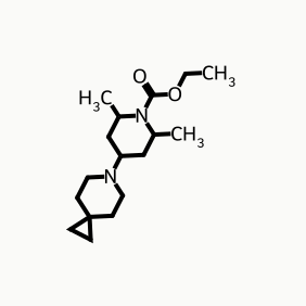 CCOC(=O)N1C(C)CC(N2CCC3(CC2)CC3)CC1C